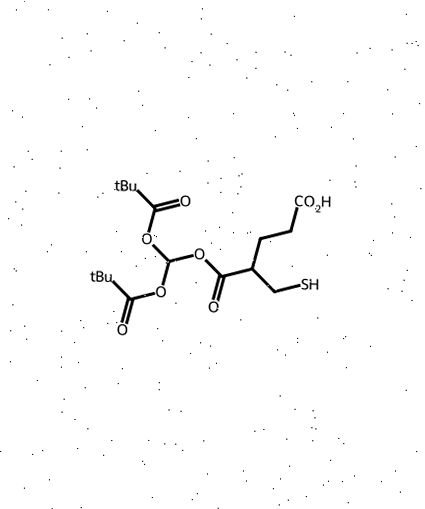 CC(C)(C)C(=O)OC(OC(=O)C(CS)CCC(=O)O)OC(=O)C(C)(C)C